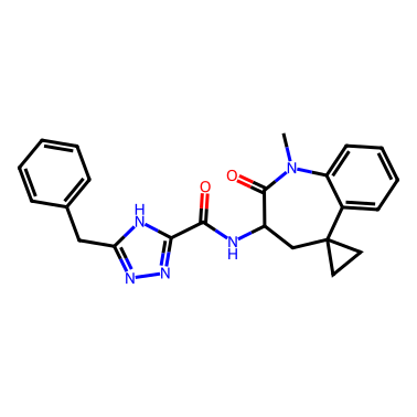 CN1C(=O)C(NC(=O)c2nnc(Cc3ccccc3)[nH]2)CC2(CC2)c2ccccc21